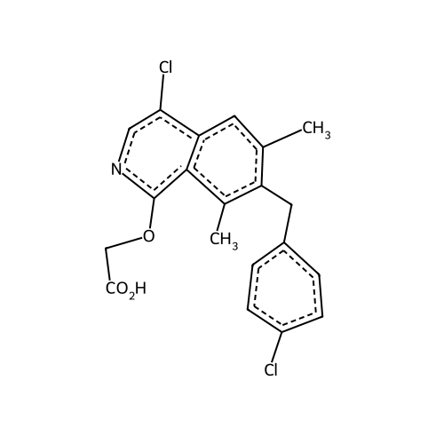 Cc1cc2c(Cl)cnc(OCC(=O)O)c2c(C)c1Cc1ccc(Cl)cc1